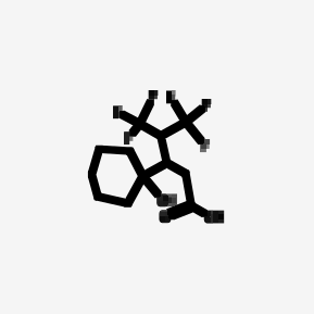 O=C(O)CC(C(C(F)(F)F)C(F)(F)F)C1(O)CCCCC1